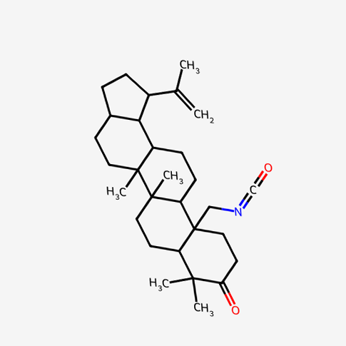 C=C(C)C1CCC2CCC3(C)C(CCC4C5(CN=C=O)CCC(=O)C(C)(C)C5CCC43C)C21